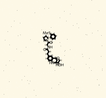 CSc1ccccc1[C@H]1CCCN1C(=O)CNC(=O)CCc1ccc2c(c1)C1C[C@H](N2)[C@H](O)CO1